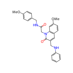 COc1ccc(CNC(=O)Cn2c(=O)c(CNc3ccccc3)cc3ccc(OC)cc32)cc1